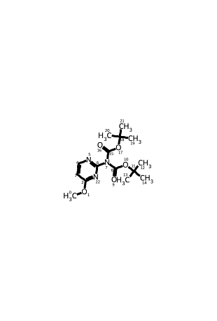 COc1ccnc(N(C(=O)OC(C)(C)C)C(=O)OC(C)(C)C)n1